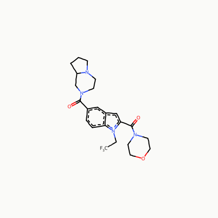 O=C(c1ccc2c(c1)cc(C(=O)N1CCOCC1)n2CC(F)(F)F)N1CCN2CCCC2C1